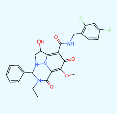 CCN1C(=O)c2c(OC)c(=O)c(C(=O)NCc3ccc(F)cc3F)c3n2N(CC3O)C1c1ccccc1